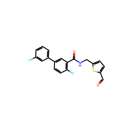 O=Cc1ccc(CNC(=O)c2cc(-c3cccc(F)c3)ccc2F)s1